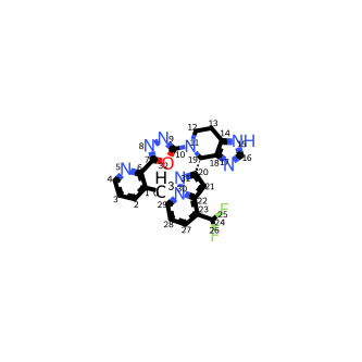 Cc1cccnc1-c1nnc(N2CCc3[nH]cnc3[C@@H]2c2cc3c(C(F)F)cccn3n2)o1